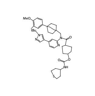 COc1ccc(C23CCC(CN(C(=O)C4CCC(OC(=O)NC5CCSCC5)CC4)c4cc(-c5cnn(C(C)(C)C)c5)ccn4)(CC2)CC3)cc1C